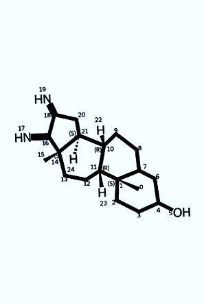 C[C@]12CCC(O)CC1CC[C@@H]1[C@H]2CC[C@]2(C)C(=N)C(=N)C[C@@H]12